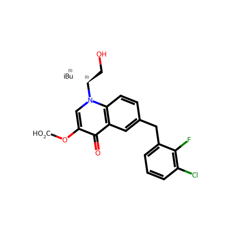 CC[C@H](C)[C@@H](CO)n1cc(OC(=O)O)c(=O)c2cc(Cc3cccc(Cl)c3F)ccc21